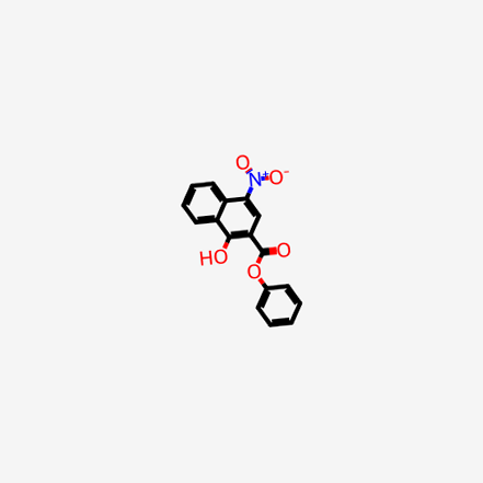 O=C(Oc1ccccc1)c1cc([N+](=O)[O-])c2ccccc2c1O